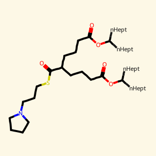 CCCCCCCC(CCCCCCC)OC(=O)CCCC(CCCC(=O)OC(CCCCCCC)CCCCCCC)C(=O)SCCCN1CCCC1